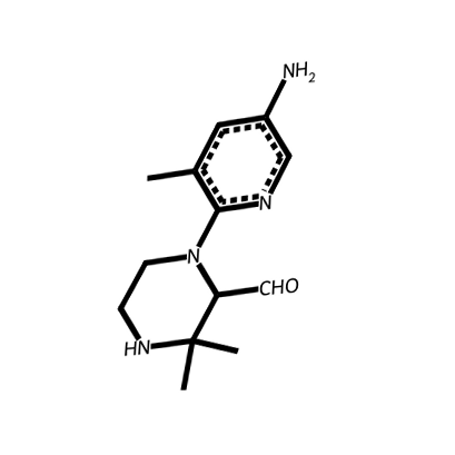 Cc1cc(N)cnc1N1CCNC(C)(C)C1C=O